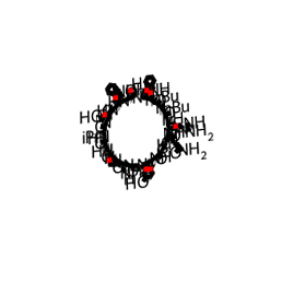 CCCC[C@H]1C(=O)N(C)[C@@H](CCCC)C(=O)N[C@@H](CCCNC(=N)N)C(=O)N[C@H](C(=O)NCC(N)=O)CSCC(=O)N[C@@H](Cc2ccc(O)cc2)C(=O)N(C)[C@@H](C)C(=O)N[C@@H](CN)C(=O)N2CCC[C@H]2C(=O)N[C@@H](C)C(=O)N[C@@H](CC(C)C)C(=O)N2C[C@@H](O)C[C@H]2C(=O)N[C@@H](Cc2c[nH]c3ccccc23)C(=O)N[C@@H](CO)C(=O)N[C@@H](Cc2c[nH]c3ccccc23)C(=O)N1C